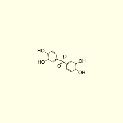 O=S(=O)(c1ccc(O)c(O)c1)c1ccc(O)c(O)c1